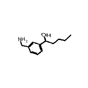 CCCCC(O)c1cccc(CN)c1